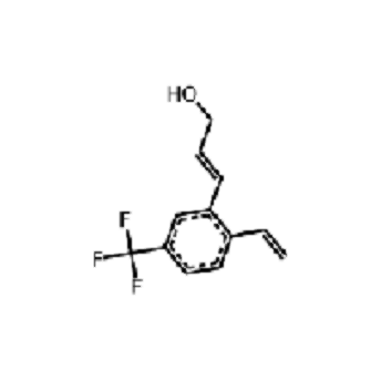 C=Cc1ccc(C(F)(F)F)cc1C=CCO